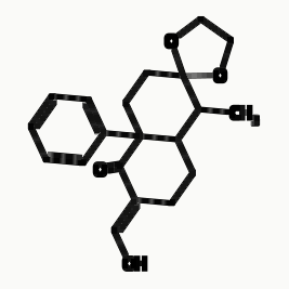 CC1C2CCC(=CO)C(=O)C2(c2ccccc2)CCC12OCCO2